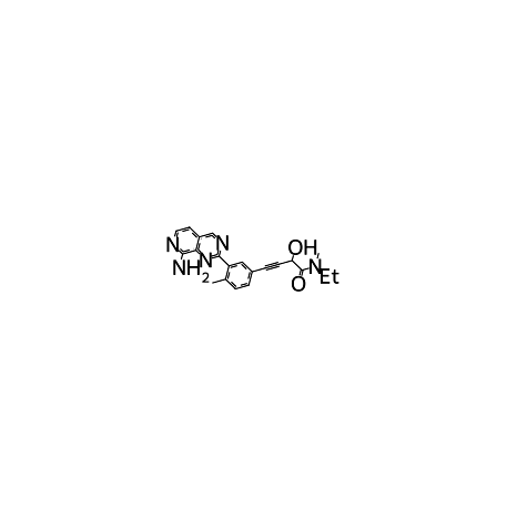 CCN(C)C(=O)C(O)C#Cc1ccc(C)c(-c2ncc3ccnc(N)c3n2)c1